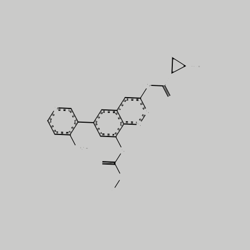 COc1ccncc1-c1cc(NC(=O)OC(C)(C)C)c2nnc(NC(=O)[C@@H]3C[C@@H]3F)cc2c1